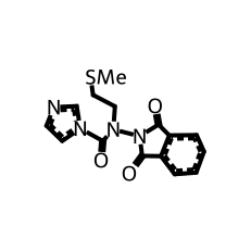 CSCCN(C(=O)n1ccnc1)N1C(=O)c2ccccc2C1=O